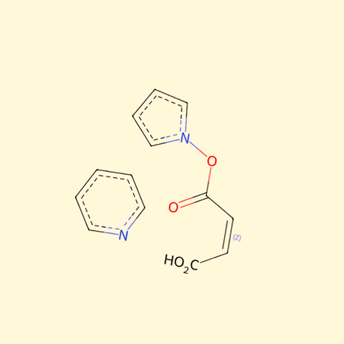 O=C(O)/C=C\C(=O)On1cccc1.c1ccncc1